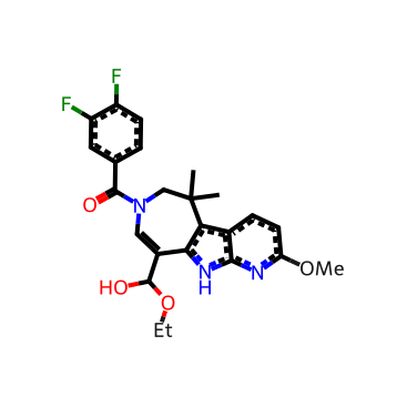 CCOC(O)C1=CN(C(=O)c2ccc(F)c(F)c2)CC(C)(C)c2c1[nH]c1nc(OC)ccc21